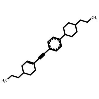 CCCC1CC=C(C#Cc2ccc(C3CCC(CCC)CC3)cc2)CC1